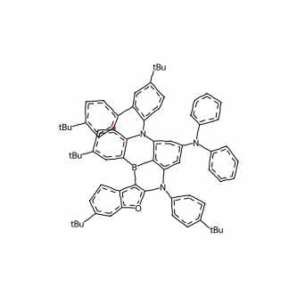 CC(C)(C)c1ccc(-c2cc(C(C)(C)C)ccc2N2c3ccc(C(C)(C)C)cc3B3c4c2cc(N(c2ccccc2)c2ccccc2)cc4N(c2ccc(C(C)(C)C)cc2)c2oc4cc(C(C)(C)C)ccc4c23)cc1